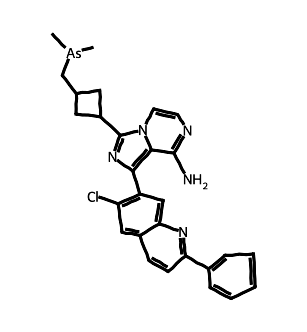 C[As](C)CC1CC(c2nc(-c3cc4nc(-c5ccccc5)ccc4cc3Cl)c3c(N)nccn23)C1